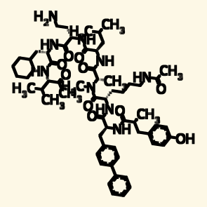 CC(=O)NCCCC[C@H](NC(=O)[C@H](Cc1ccc(-c2ccccc2)cc1)NC(=O)[C@@H](C)Cc1ccc(O)cc1)C(=O)N(C)[C@@H](C)C(=O)N[C@H](CC(C)C)C(=O)N[C@@H](CCN)C(=O)N[C@@H](CC1CCCCC1)C(=O)N[C@H](C(C)=O)C(C)C